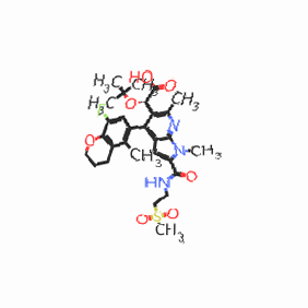 Cc1nc2c(cc(C(=O)NCCS(C)(=O)=O)n2C)c(-c2cc(F)c3c(c2C)CCCO3)c1[C@H](OC(C)(C)C)C(=O)O